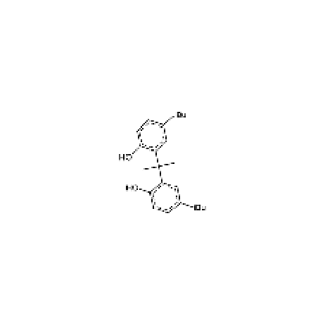 CCC(C)c1ccc(O)c(C(C)(C)c2cc(C(C)CC)ccc2O)c1